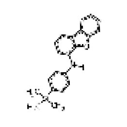 C[Si](C)(C)c1ccc(N(I)c2cccc3c2oc2ccccc23)cc1